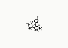 CC(C)N(C(=O)c1c(O)c(O)c(C(=O)N(C(C)C)C(C)C)n1-c1ccc(F)cc1)C(C)C